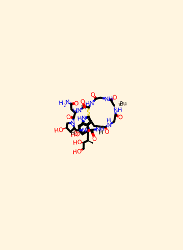 CC[C@H](C)[C@@H]1NC(=O)CNC(=O)[C@@H]2Cc3c([nH]c4cc(O)ccc34)S[C@H](NC(=O)CNC1=O)C(=O)NC(CC(N)=O)C(=O)N1C[C@H](O)C[C@H]1C(=O)N[C@@H]([C@@H](C)[C@@H](O)CO)C(=O)N2